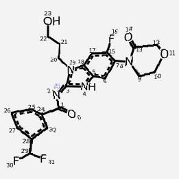 O=C(/N=c1\[nH]c2cc(N3CCOCC3=O)c(F)cc2n1CCCO)c1cccc(C(F)F)c1